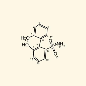 Cc1ccccc1-c1c(O)cccc1S(N)(=O)=O